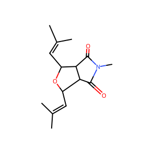 CC(C)=CC1OC(C=C(C)C)C2C(=O)N(C)C(=O)C12